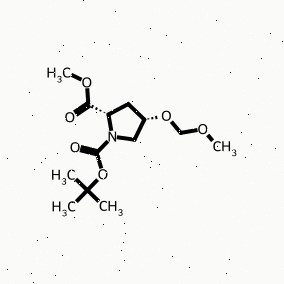 COCO[C@H]1C[C@@H](C(=O)OC)N(C(=O)OC(C)(C)C)C1